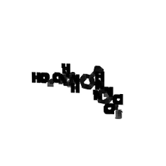 O=C(O)N1C[C@@H]2C[C@H]1CN2c1ccc(Nc2ncc(C(F)(F)F)c(Cl)n2)c(C2CC2)c1